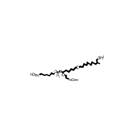 CCCCCCCCCCCCCCCCO[SiH2]OC(CCCCCCCCCCCCCCC(C)CS)OCCCCCCCCCCCC